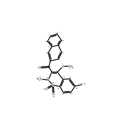 COC1=C(C(=O)c2ccc3ccccc3c2)N(C)S(=O)(=O)c2ccc(F)cc21